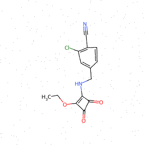 CCOc1c(NCc2ccc(C#N)c(Cl)c2)c(=O)c1=O